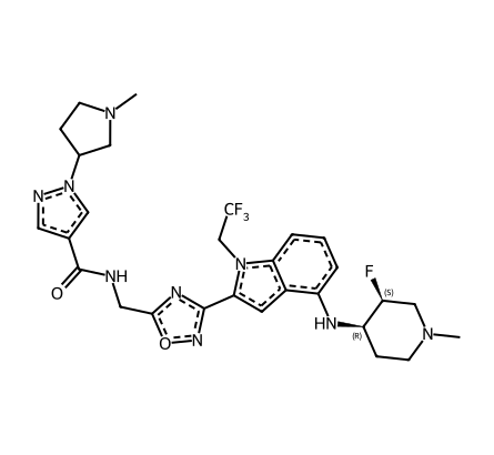 CN1CCC(n2cc(C(=O)NCc3nc(-c4cc5c(N[C@@H]6CCN(C)C[C@@H]6F)cccc5n4CC(F)(F)F)no3)cn2)C1